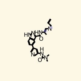 C=C/C=N\C=C(/C)NC(=O)c1n[nH]c2ccc(-c3cncc(NC(=O)N(C)C)c3)cc12